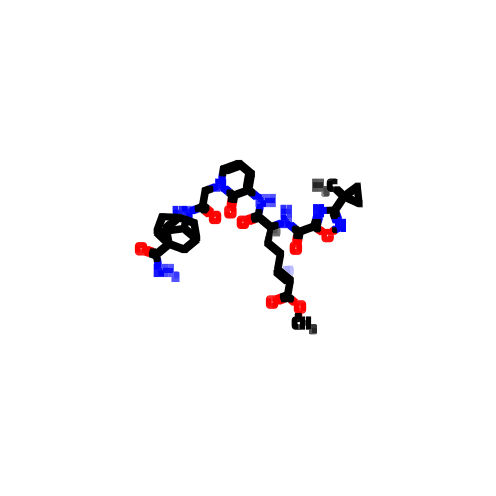 COC(=O)/C=C/CC[C@H](NC(=O)c1nc(C2(C)CC2)no1)C(=O)Nc1cccn(CC(=O)NC2C3CC4CC2C(C(N)=O)(C4)C3)c1=O